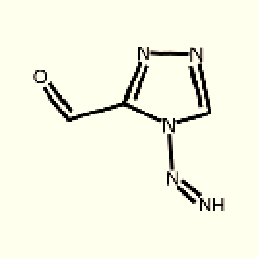 N=Nn1cnnc1C=O